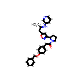 O=C(O)C(Cc1cc(C2CCCN2C(=O)Cc2ccc(OCc3ccccc3)cc2)no1)Nc1cccnc1